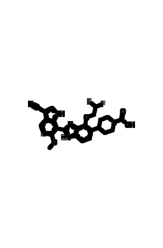 COc1ncc2c(C#N)c[nH]c2c1-c1nc2c(OCC(F)F)c(C3CCN(C(=O)O)CC3)ccc2[nH]1